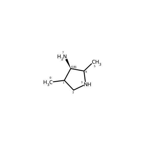 CC1CNC(C)[C@@H]1N